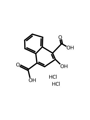 Cl.Cl.O=C(O)c1cc(O)c(C(=O)O)c2ccccc12